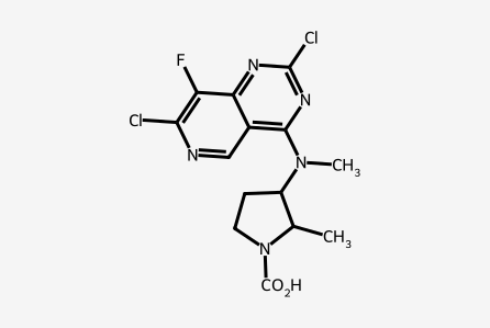 CC1C(N(C)c2nc(Cl)nc3c(F)c(Cl)ncc23)CCN1C(=O)O